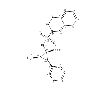 C[C@@H]1[C@H](c2ccccc2)[C@]1(NS(=O)(=O)N1C=C2CC=CC=C2CC1)C(=O)O